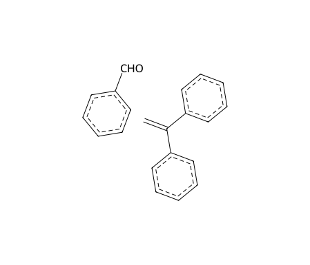 C=C(c1ccccc1)c1ccccc1.O=Cc1ccccc1